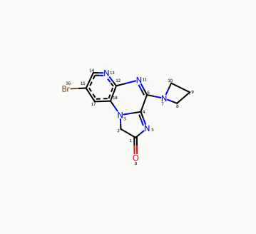 O=C1CN2C(=N1)C(N1C[CH]C1)=Nc1ncc(Br)cc12